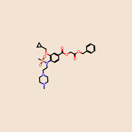 CN1CCN(CCN(c2ccc(C(=O)OCC(=O)OCc3ccccc3)cc2OCC2CC2)S(C)(=O)=O)CC1